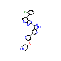 Fc1ccccc1-c1ccnc2[nH]c(-c3n[nH]c4ncc(-c5cncc(OC6CCNCC6)c5)cc34)nc12